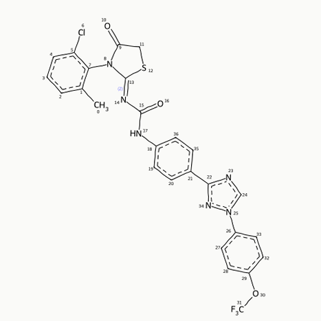 Cc1cccc(Cl)c1N1C(=O)CS/C1=N\C(=O)Nc1ccc(-c2ncn(-c3ccc(OC(F)(F)F)cc3)n2)cc1